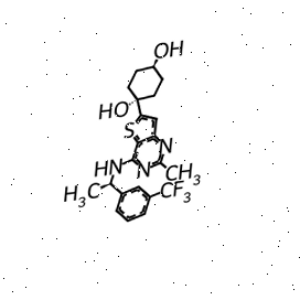 Cc1nc(N[C@H](C)c2cccc(C(F)(F)F)c2)c2sc([C@]3(O)CC[C@H](O)CC3)cc2n1